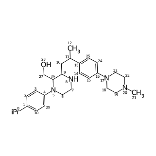 CC(C)c1ccc(N2CCNC(CC(C)c3ccc(N4CCN(C)CC4)cc3)C2CO)cc1